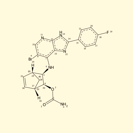 NC(=O)O[C@@H]1[C@H](Nc2c(Br)cnc3[nH]c(-c4ccc(F)cc4)nc23)[C@H]2C=C[C@@H]1C2